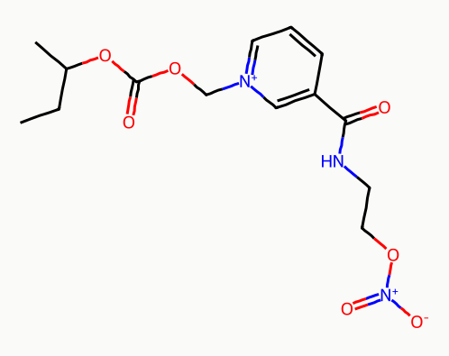 CCC(C)OC(=O)OC[n+]1cccc(C(=O)NCCO[N+](=O)[O-])c1